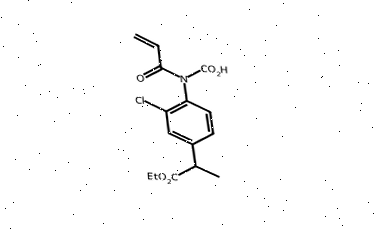 C=CC(=O)N(C(=O)O)c1ccc(C(C)C(=O)OCC)cc1Cl